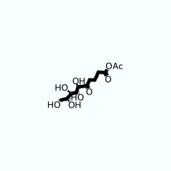 CC(=O)OC(=O)CCCC(=O)[C@H](O)[C@@H](O)[C@H](O)[C@H](O)CO